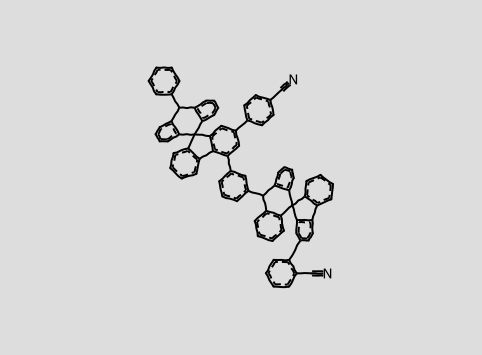 N#Cc1ccc(-c2cc(-c3cccc(C4c5ccccc5C5(c6ccccc6-c6ccc(-c7ccccc7C#N)cc65)c5ccccc54)c3)c3c(c2)C2(c4ccccc4-3)c3ccccc3C(c3ccccc3)c3ccccc32)cc1